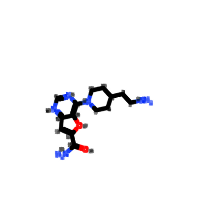 NCCC1CCN(c2ncnc3cc(C(N)=O)oc23)CC1